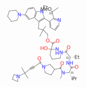 CC[C@H](NC(=O)[C@H](C(C)C)N(C)C(=O)C1CCN(C(=O)C#CC(C)(C)N2CCC2)C1)C(=O)N1CCCC(O)(C(=O)OCC(C)(C)Cc2c(-c3cccnc3[C@H](C)OC)n(CC)c3ccc(N4CCCCC4)cc23)N1